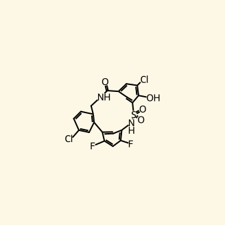 O=C1NCc2ccc(Cl)cc2-c2cc(c(F)cc2F)NS(=O)(=O)c2cc1cc(Cl)c2O